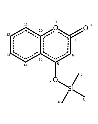 C[Si](C)(C)Oc1cc(=O)oc2ccccc12